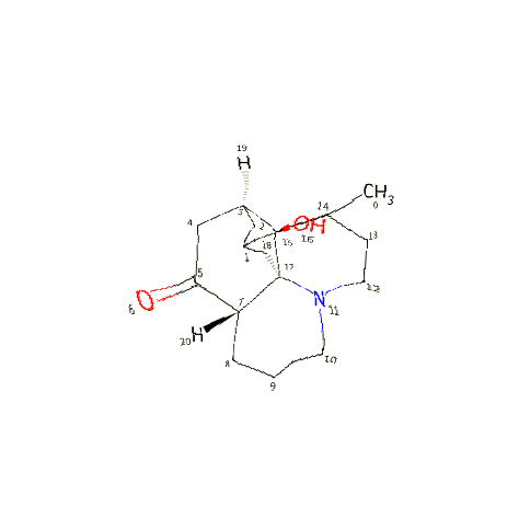 CC1C[C@H]2CC(=O)[C@H]3CCCN4CCC[C@@]2(O)[C@]34C1